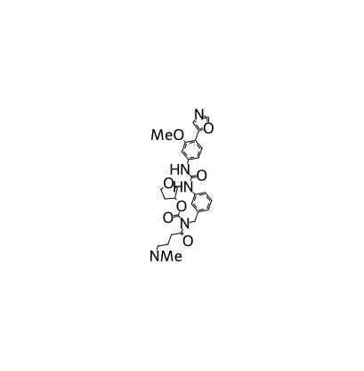 CNCCCC(=O)N(Cc1cccc(NC(=O)Nc2ccc(-c3cnco3)c(OC)c2)c1)C(=O)OC1CCOC1